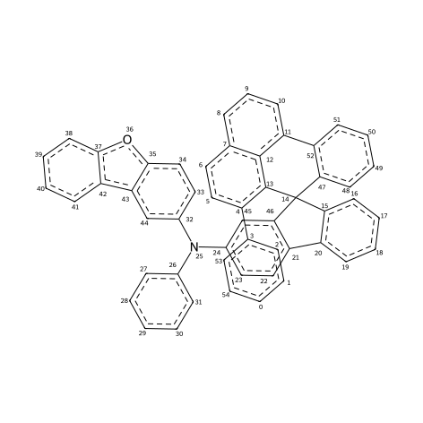 c1ccc(-c2ccc3cccc4c3c2C2(c3ccccc3-c3ccc(N(c5ccccc5)c5ccc6oc7ccccc7c6c5)cc32)c2ccccc2-4)cc1